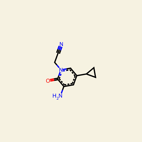 N#CCn1cc(C2CC2)cc(N)c1=O